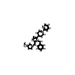 CO[C@@H]1CCN(Cc2nnc(C3CCN(c4ccccn4)CC3)n2Cc2ccccc2)C1